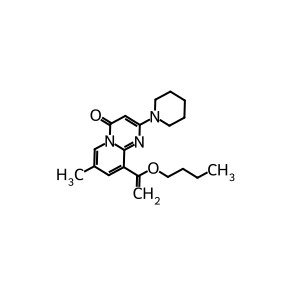 C=C(OCCCC)c1cc(C)cn2c(=O)cc(N3CCCCC3)nc12